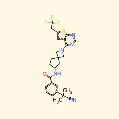 CC(C)(C#N)c1cccc(C(=O)NC2CCC3(C2)CN(c2ncnc4sc(CC(F)(F)F)cc24)C3)c1